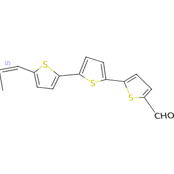 C/C=C\c1ccc(-c2ccc(-c3ccc(C=O)s3)s2)s1